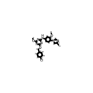 COc1nc(Nc2ccc(-n3cnc(C)c3)c(OC)c2)nc(OCc2ccc(Cl)cc2)n1